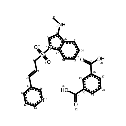 CNc1cn(S(=O)(=O)CC=Cc2cccnc2)c2ccccc12.O=C(O)c1cccc(C(=O)O)c1